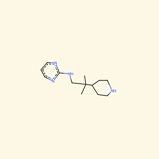 CC(C)(CNc1ncccn1)C1CCNCC1